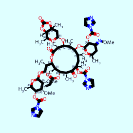 CON=C1C[C@@H](C)O[C@@H](O[C@@H]2[C@@H](C)[C@H](O[C@H]3C[C@@]4(C)OC(=O)O[C@H]4[C@H](C)O3)[C@@H](C)C(=O)O[C@H]([C@@H](C)COC3O[C@H](C)[C@@H](OC(=O)n4ccnc4)[C@@H](OC)[C@H]3OC)[C@H](C)[C@@H](OC(=O)CC(C)C)[C@@H](C)C(=O)[C@@](C)(OC(=O)n3ccnc3)C[C@@H]2C)[C@@H]1OC(=O)n1ccnc1